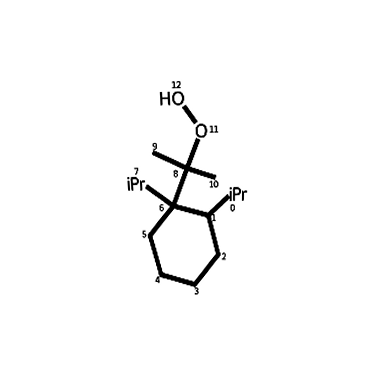 CC(C)C1CCCCC1(C(C)C)C(C)(C)OO